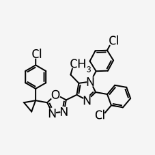 CCc1c(-c2nnc(C3(c4ccc(Cl)cc4)CC3)o2)nc(-c2ccccc2Cl)n1C1C=CC(Cl)=CC1